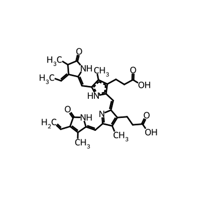 C=CC1=C(C)/C(=C/C2=NC(=C\c3[nH]c(/C=C4\NC(=O)C(C)\C4=C/C)c(C)c3CCC(=O)O)/C(CCC(=O)O)=C2C)NC1=O